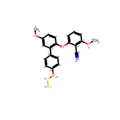 COc1ccc(Oc2cccc(OC)c2C#N)c(-c2ccc(OSS)cc2)c1